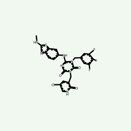 CNc1nc2ccc(Nc3nc(=O)n(Cc4cc(Cl)c[nH]c4=O)c(=O)n3Cc3cc(F)c(F)c(F)c3)cc2s1